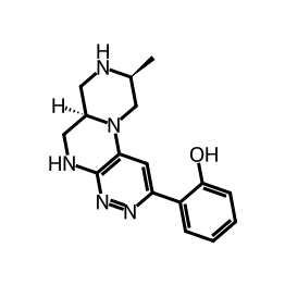 C[C@H]1CN2c3cc(-c4ccccc4O)nnc3NC[C@H]2CN1